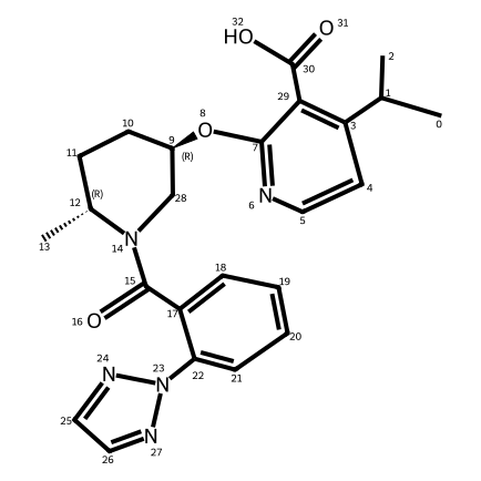 CC(C)c1ccnc(O[C@@H]2CC[C@@H](C)N(C(=O)c3ccccc3-n3nccn3)C2)c1C(=O)O